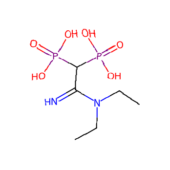 CCN(CC)C(=N)C(P(=O)(O)O)P(=O)(O)O